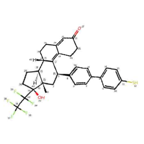 C[C@]12C[C@H](c3ccc(-c4ccc(S)cc4)cc3)C3=C4CCC(=O)C=C4CC[C@H]3[C@@H]1CC[C@@]2(O)C(F)(F)C(F)(F)F